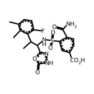 Cc1ccc(F)c(C(C)C(NS(=O)(=O)c2cc(C(=O)O)ccc2C(N)=O)c2n[nH]c(=O)o2)c1C